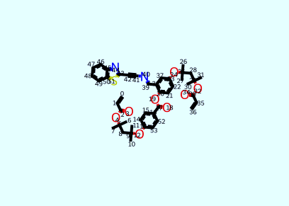 C=CC(=O)OC(C)(C)CC(C)(C)Oc1ccc(C(=O)Oc2ccc(OC(C)(C)CC(C)(C)OC(=O)C=C)cc2/C=N/C#Cc2nc3ccccc3s2)cc1